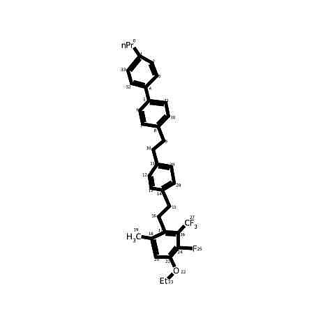 CCCc1ccc(-c2ccc(CCc3ccc(CCc4c(C)cc(OCC)c(F)c4C(F)(F)F)cc3)cc2)cc1